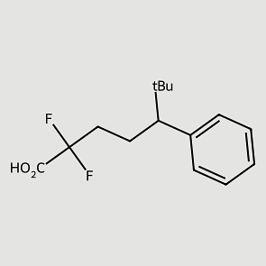 CC(C)(C)C(CCC(F)(F)C(=O)O)c1ccccc1